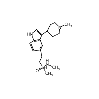 CN[SH](C)(=O)CCc1ccc2[nH]cc(C3CCN(C)CC3)c2c1